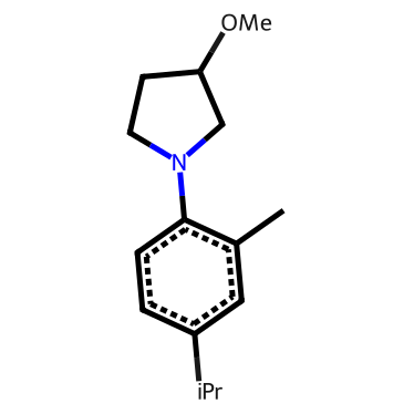 COC1CCN(c2ccc(C(C)C)cc2C)C1